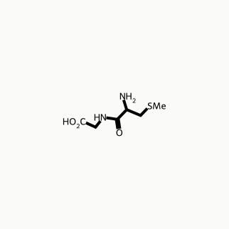 CSCC(N)C(=O)NCC(=O)O